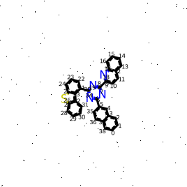 c1ccc2cc(-c3nc(-c4ccc5ccccc5n4)nc(-c4cccc5sc6ccccc6c45)n3)ccc2c1